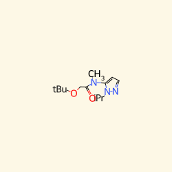 CC(C)n1nccc1N(C)C(=O)COC(C)(C)C